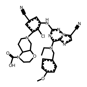 CCN(Cc1ccc(OC)cc1)c1nc(Nc2cc(C#N)cc(N3CCC4C(C3)OCCN4C(=O)O)c2Cl)nn2c(C#N)cnc12